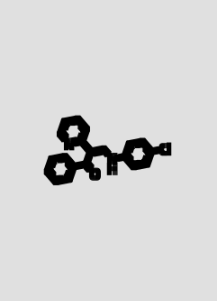 O=C(C(=CNc1ccc(Cl)cc1)c1ccccn1)c1ccccc1